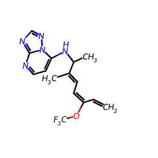 C=C/C(=C\C=C(/C)C(C)Nc1ccnc2ncnn12)OC(F)(F)F